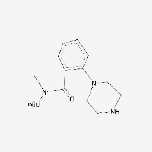 CCCCN(C)C(=O)c1ccccc1N1CCNCC1